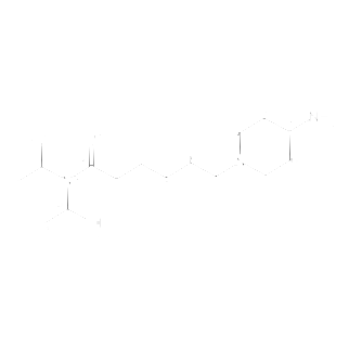 CC(O)N(C(=O)CCCCCN1CCC(N)CC1)C(C)O